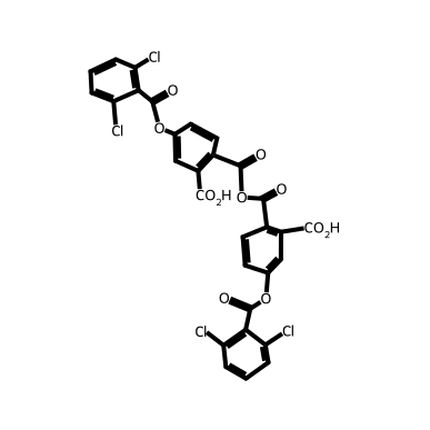 O=C(O)c1cc(OC(=O)c2c(Cl)cccc2Cl)ccc1C(=O)OC(=O)c1ccc(OC(=O)c2c(Cl)cccc2Cl)cc1C(=O)O